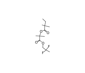 CCC(C)(C)C(=O)OC(C)(C)C(=O)OCC(C)(F)F